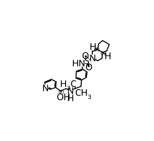 CC(C)(Cc1ccc(NS(=O)(=O)N2CC[C@H]3CCCC[C@H]3C2)cc1)NC[C@H](O)c1cccnc1